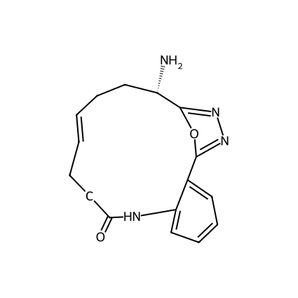 N[C@H]1CC/C=C/CCC(=O)Nc2ccccc2-c2nnc1o2